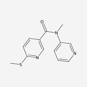 CSc1ccc(C(=O)N(C)c2cccnc2)cn1